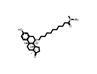 CCCCN(C)C(=O)CCCCCCCCCC[C@@H]1Cc2cc(O)ccc2[C@H]2CC[C@]3(C)C(=O)CC[C@H]3[C@H]12